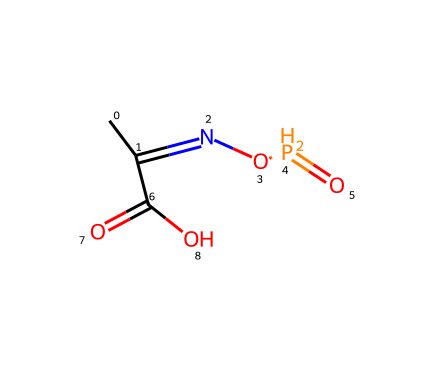 CC(=NO[PH2]=O)C(=O)O